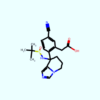 CC(C)(C)[S+]([O-])NC1(c2ccc(C#N)cc2CC(=O)O)CCCn2cncc21